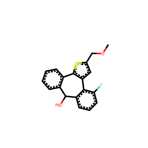 COCc1cc2c(s1)-c1ccccc1C(O)c1cccc(F)c1-2